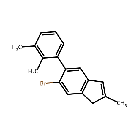 CC1=Cc2cc(-c3cccc(C)c3C)c(Br)cc2C1